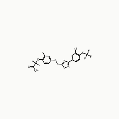 Cc1cc(SCc2nc(-c3ccc(OC(F)(F)F)c(Cl)c3)ns2)ccc1OC(C)(C)C(=O)O